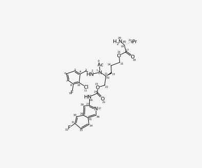 CC(=O)N(NCc1cccc(F)c1Cl)[C@@H](CCCOC(=O)[C@H](N)C(C)C)COC(=O)Nc1cc2cc(F)ccc2cn1